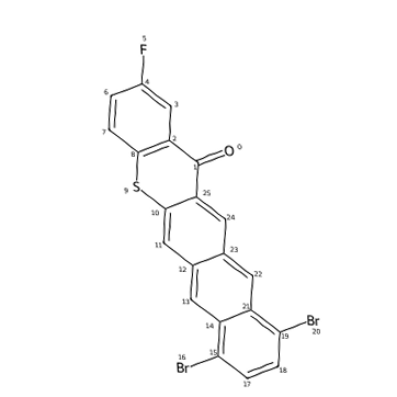 O=c1c2cc(F)ccc2sc2cc3cc4c(Br)ccc(Br)c4cc3cc12